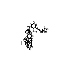 C[C@H](c1ccccc1C#CCN1CCC1)n1c(=O)oc2cc(S(=O)(=O)Nc3ncns3)c(F)cc21